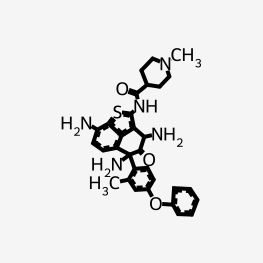 Cc1cc(Oc2ccccc2)ccc1C1(N)C(=O)C(N)c2c(NC(=O)C3CCN(C)CC3)sc3c(N)ccc1c23